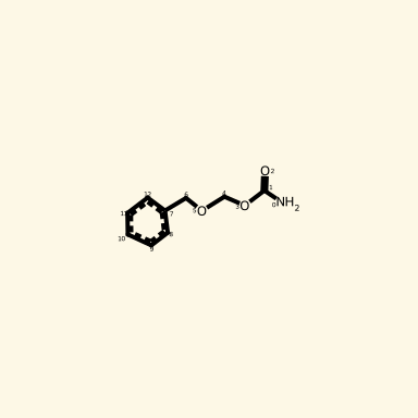 NC(=O)OCOCc1ccccc1